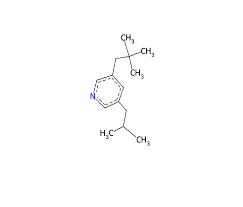 CC(C)Cc1cncc(CC(C)(C)C)c1